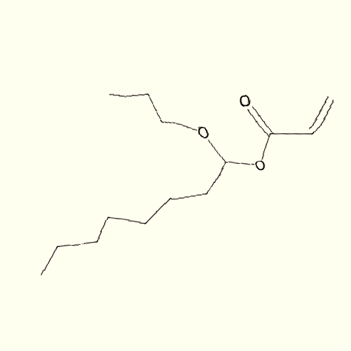 C=CC(=O)OC(CCCCCCC)OCCC